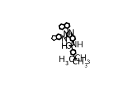 CC(C)(C)c1ccc(C(=O)Nc2ccc3nc(-c4cccc5ccccc45)nc(Nc4ccc5c(c4)CCC5)c3c2)cc1